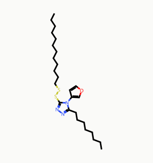 CCCCCCCCCCCCSSc1nnc(CCCCCCCC)n1-c1ccoc1